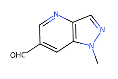 Cn1ncc2ncc(C=O)cc21